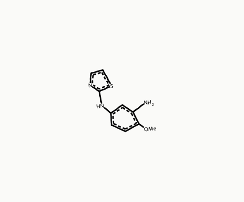 COc1ccc(Nc2nccs2)cc1N